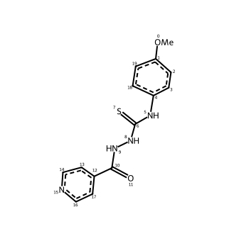 COc1ccc(NC(=S)NNC(=O)c2ccncc2)cc1